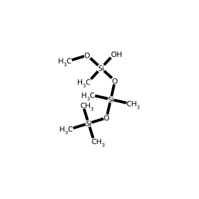 CO[Si](C)(O)O[Si](C)(C)O[Si](C)(C)C